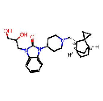 O=c1n(CC(O)CO)c2ccccc2n1C1CCN(C[C@H]2[C@@H]3CC[C@@H](C3)C23CC3)CC1